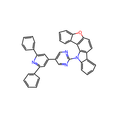 c1ccc(-c2cc(-c3cnc(-n4c5ccccc5c5ccc6oc7ccccc7c6c54)nc3)cc(-c3ccccc3)n2)cc1